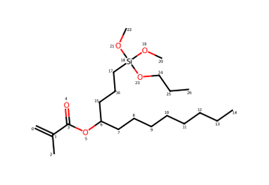 C=C(C)C(=O)OC(CCCCCCCC)CCC[Si](OC)(OC)OCCC